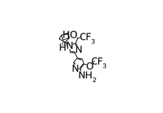 Nc1ncc(-c2cn([C@H]3CC4CC3C4)c(C(O)C(F)(F)F)n2)cc1OC(F)(F)F